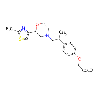 CCOC(=O)COc1ccc(C(C)CN2CCOC(c3csc(C(F)(F)F)n3)C2)cc1